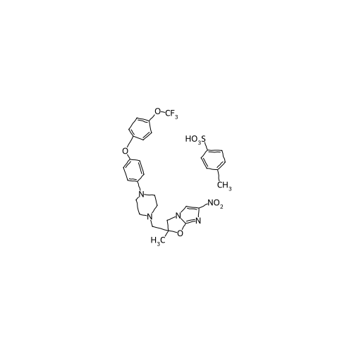 CC1(CN2CCN(c3ccc(Oc4ccc(OC(F)(F)F)cc4)cc3)CC2)Cn2cc([N+](=O)[O-])nc2O1.Cc1ccc(S(=O)(=O)O)cc1